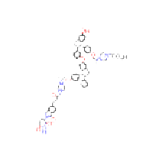 C[C@H](COc1ccc([C@@H]2c3ccc(O)cc3CC[C@@H]2c2cccc(Oc3ccc4c(c3)CC[C@H](c3ccccc3)[C@@H]4c3ccc(OC[C@@H](C)N4CCN(CC(=O)CCc5ccc6c(c5)CN(C5CCC(=O)NC5=O)C6=O)CC4)cc3)c2)cc1)N1CCN(CC(=O)O)CC1